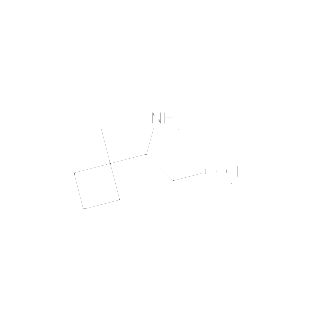 CC1(C(N)CC(=O)O)CCC1